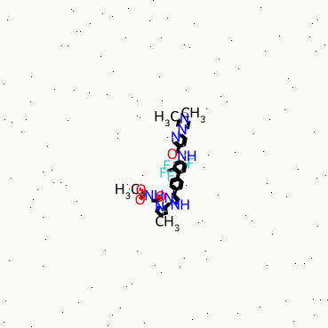 COC(=O)NCC(=O)N1CC(C)CC1c1nc(-c2ccc(-c3cc(F)c(NC(=O)c4ccc(N5CCN(C)C(C)C5)nc4)cc3C(F)(F)F)cc2)c[nH]1